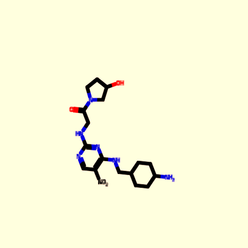 NC1CCC(CNc2nc(NCC(=O)N3CCC(O)C3)ncc2[N+](=O)[O-])CC1